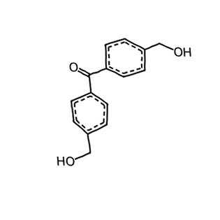 O=C(c1ccc(CO)cc1)c1ccc(CO)cc1